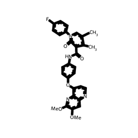 COc1cc2nccc(Oc3ccc(NC(=O)c4c(C)c(C)cn(-c5ccc(F)cc5)c4=O)cc3)c2nc1OC